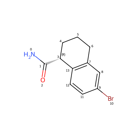 NC(=O)[C@@H]1CCCc2cc(Br)ccc21